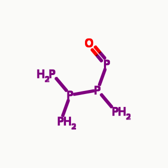 O=PP(P)P(P)P